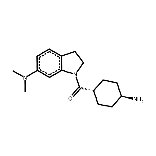 CN(C)c1ccc2c(c1)N(C(=O)[C@H]1CC[C@H](N)CC1)CC2